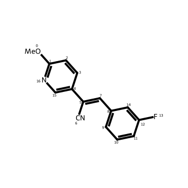 COc1ccc(C(C#N)=Cc2cccc(F)c2)cn1